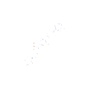 Cc1cnc(Cl)nc1N1CCN(c2ncc(N3C[C@H](CNC(=O)C(Cl)Cl)OC3=O)cc2F)CC1